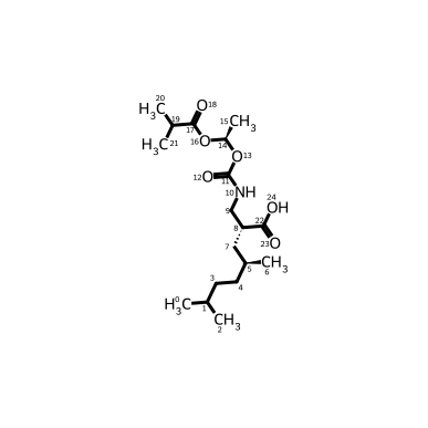 CC(C)CC[C@H](C)C[C@H](CNC(=O)O[C@H](C)OC(=O)C(C)C)C(=O)O